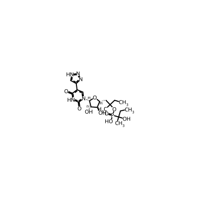 CCC(C)(C[C@H]1O[C@@H](n2cc(-c3c[nH]nn3)c(=O)[nH]c2=O)[C@@H](O)C1O)OP(=O)(O)C(C)(O)CC